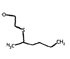 CCCCC(C)SCC[O]